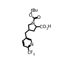 CC(C)(C)OC(=O)N1CC(Cc2ccc(C(F)(F)F)nc2)CC1C(=O)O